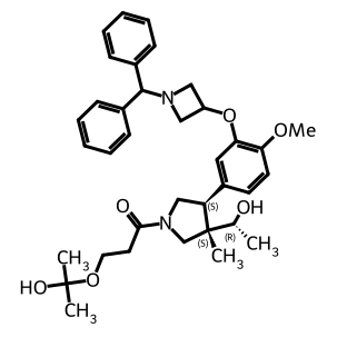 COc1ccc([C@@H]2CN(C(=O)CCOC(C)(C)O)C[C@@]2(C)[C@@H](C)O)cc1OC1CN(C(c2ccccc2)c2ccccc2)C1